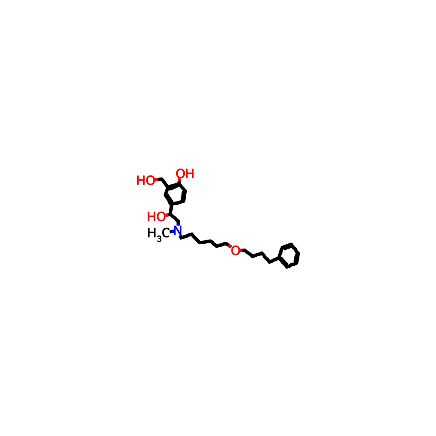 CN(CCCCCCOCCCCc1ccccc1)CC(O)c1ccc(O)c(CO)c1